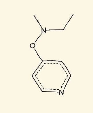 CCN(C)Oc1ccncc1